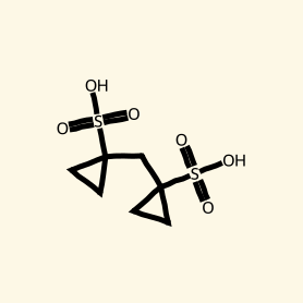 O=S(=O)(O)C1(CC2(S(=O)(=O)O)CC2)CC1